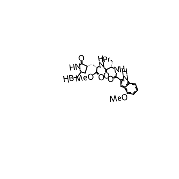 CBCC1C[C@@H](C[C@H](NC(=O)[C@H](CC(C)C)NC(=O)c2cc3c(OC)cccc3[nH]2)C(=O)OC)C(=O)N1